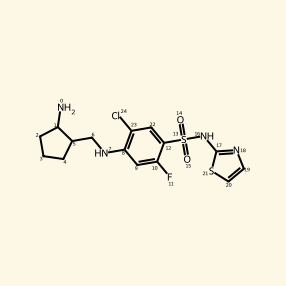 NC1CCCC1CNc1cc(F)c(S(=O)(=O)Nc2nccs2)cc1Cl